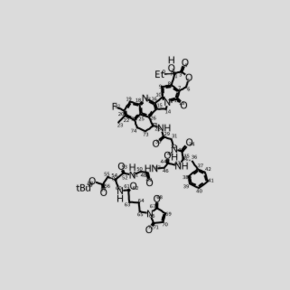 CC[C@@]1(O)C(=O)OCc2c1cc1n(c2=O)Cc2c-1nc1cc(F)c(C)c3c1c2[C@@H](NC(=O)CNC(=O)[C@H](Cc1ccccc1)NC(=O)CNC(=O)CNC(=O)[C@H](CC(=O)OC(C)(C)C)NC(=O)CCCN1C(=O)C=CC1=O)CC3